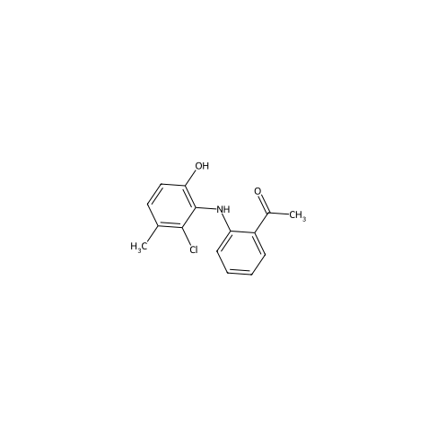 CC(=O)c1ccccc1Nc1c(O)ccc(C)c1Cl